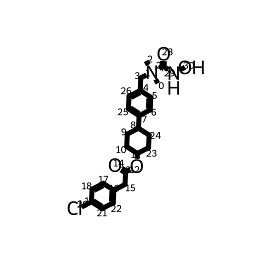 C[N+](C)(Cc1ccc(C2CCC(OC(=O)Cc3ccc(Cl)cc3)CC2)cc1)C(=O)NO